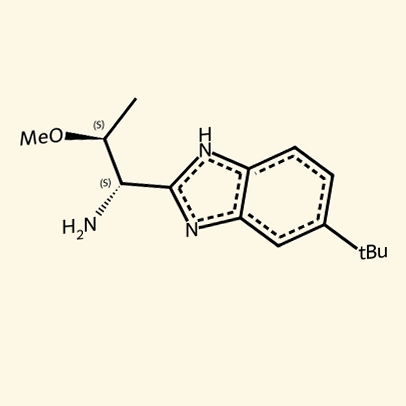 CO[C@@H](C)[C@@H](N)c1nc2cc(C(C)(C)C)ccc2[nH]1